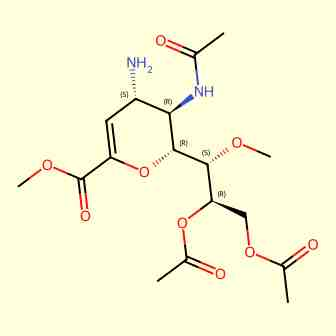 COC(=O)C1=C[C@H](N)[C@@H](NC(C)=O)[C@H]([C@H](OC)[C@@H](COC(C)=O)OC(C)=O)O1